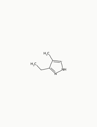 CCc1n[nH][c]c1C